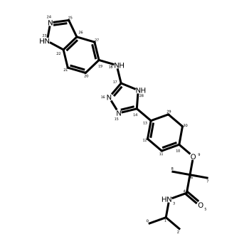 CC(C)NC(=O)C(C)(C)OC1=CC=C(c2nnc(Nc3ccc4[nH]ncc4c3)[nH]2)CC1